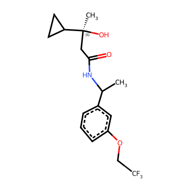 CC(NC(=O)C[C@](C)(O)C1CC1)c1cccc(OCC(F)(F)F)c1